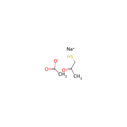 CC(=O)CS.CC(=O)[O-].[Na+]